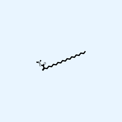 C=C(CCCCCCCCCCCCCCCCCC)C(=O)ON(C)C